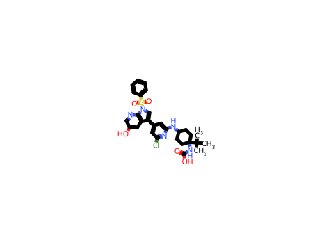 CC(C)(C)C1(NC(=O)O)CCC(Nc2cc(-c3cn(S(=O)(=O)c4ccccc4)c4ncc(O)cc34)cc(Cl)n2)CC1